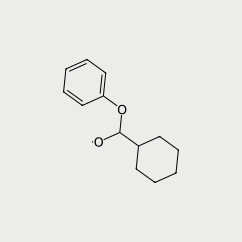 [O]C(Oc1ccccc1)C1CCCCC1